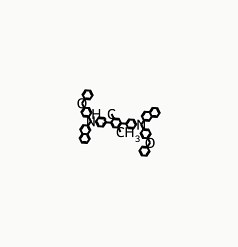 Cc1cc(-c2ccc(N(c3ccc(Oc4ccccc4)cc3)c3ccc4ccccc4c3)cc2)c(C)cc1-c1ccc(N(c2ccc(Oc3ccccc3)cc2)c2ccc3ccccc3c2)cc1